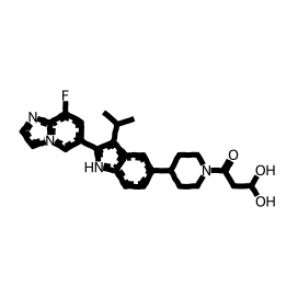 CC(C)c1c(-c2cc(F)c3nccn3c2)[nH]c2ccc(C3CCN(C(=O)CC(O)O)CC3)cc12